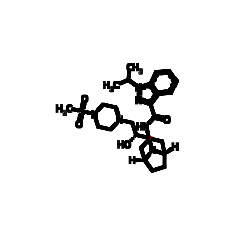 CC(C)n1nc(C(=O)N[C@@H]2C[C@H]3CC[C@@H](C2)N3C[C@H](O)CN2CCN(S(C)(=O)=O)CC2)c2ccccc21